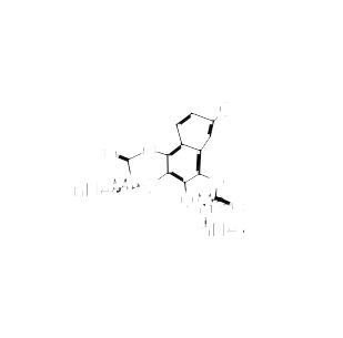 CCCCCCOC(=O)Oc1c(OC)c(OC)c(OC(=O)OCCCCCC)c2cc(Cl)ccc12